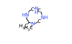 CC1CNCCNCCNCCN1C